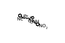 CC(C)[C@@](C#N)(CCCCC(=O)N1CCC[C@@H]1C(=O)NCc1ccc([N+](=O)[O-])cc1)c1ccccc1